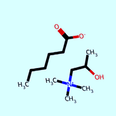 CC(O)C[N+](C)(C)C.CCCCCC(=O)[O-]